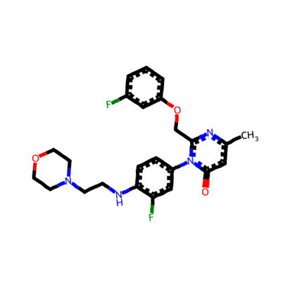 Cc1cc(=O)n(-c2ccc(NCCN3CCOCC3)c(F)c2)c(COc2cccc(F)c2)n1